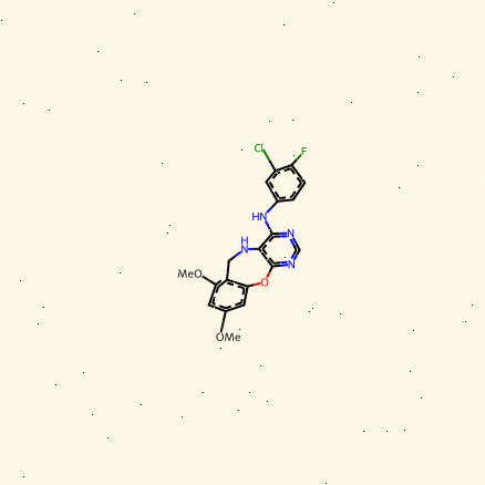 COc1cc(OC)c2c(c1)Oc1ncnc(Nc3ccc(F)c(Cl)c3)c1NC2